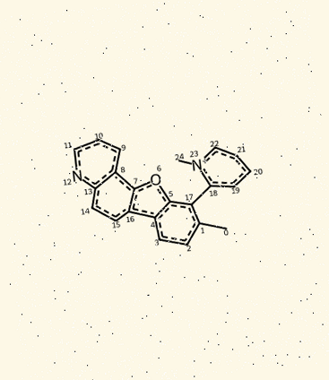 Cc1ccc2c(oc3c4cccnc4ccc23)c1-c1cccc[n+]1C